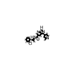 Cc1cc(-c2n[nH]c3ncc(C(=O)N[C@@H]4C[C@H]4c4ccccc4Cl)cc23)ccn1